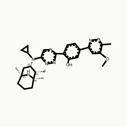 COc1cc(-c2ccc(-c3ncc(N(C4CC4)[C@H]4C[C@]5(C)CCC[C@@](C)(N5)[C@H]4F)nn3)c(O)c2)nnc1C